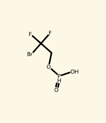 O=[PH](O)OCC(F)(F)Br